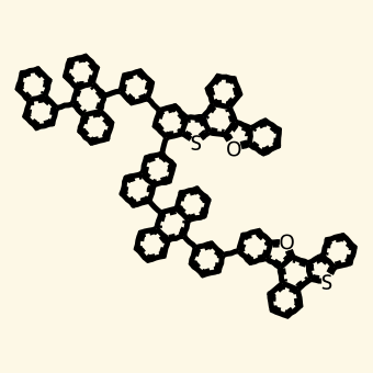 c1cc(-c2cc(-c3ccc4c(-c5c6ccccc6c(-c6cccc(-c7ccc8oc9c(c8c7)c7ccccc7c7sc8ccccc8c97)c6)c6ccccc56)cccc4c3)c3sc4c5oc6ccccc6c5c5ccccc5c4c3c2)cc(-c2c3ccccc3c(-c3cccc4ccccc34)c3ccccc23)c1